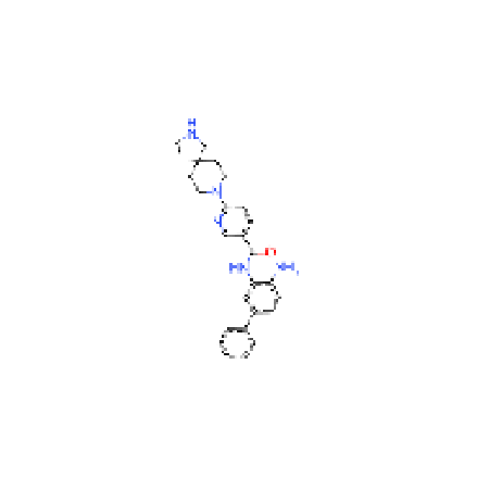 Nc1ccc(-c2ccccc2)cc1NC(=O)c1ccc(N2CCC3(CCNC3)CC2)nc1